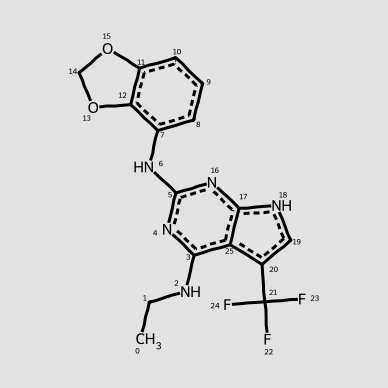 CCNc1nc(Nc2cc[c]c3c2OCO3)nc2[nH]cc(C(F)(F)F)c12